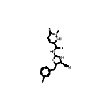 CN1NC(C(=O)NC2NC(C#N)C(Cc3cccc(F)c3)S2)C=CC1=O